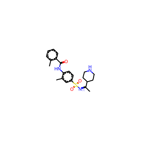 C/C(=N/S(=O)(=O)c1ccc(NC(=O)c2ccccc2C)c(C)c1)C1CCNCC1